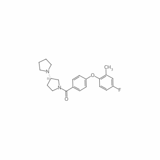 Cc1cc(F)ccc1Oc1ccc(C(=O)N2CC[C@H](N3CCCC3)C2)cc1